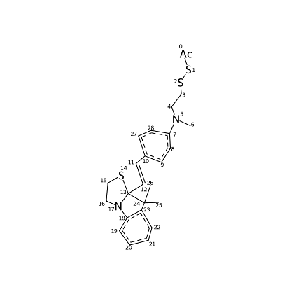 CC(=O)SSCCN(C)c1ccc(/C=C/C23SCCN2c2ccccc2C3(C)C)cc1